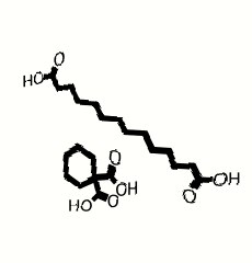 O=C(O)C1(C(=O)O)CCCCC1.O=C(O)CCCCCCCCCCCCC(=O)O